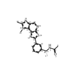 CC(=O)N[C@H](C)c1cccc(-c2nc3c(ncc4nc(C)n(C)c43)s2)c1